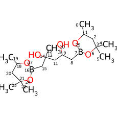 CC1CC(C)(C)OB(CC(O)CC(C)(O)CB2OC(C)CC(C)(C)O2)O1